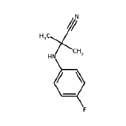 CC(C)(C#N)Nc1ccc(F)cc1